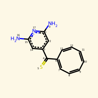 Nc1cc(C(=S)C2=C/C=C\C=C/C=C\2)cc(N)n1